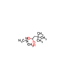 C[SiH](C)OC(O)CC(C)(C)C